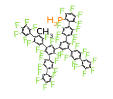 Cc1c(F)c(-c2c(F)c(-c3c(F)c(F)c(-c4c(F)c(F)c(F)c(F)c4F)c(F)c3F)c(F)c(-c3c(F)c(-c4c(F)c(F)c(-c5c(F)c(F)c(F)c(F)c5F)c(F)c4F)c(F)c(-c4c(F)c(F)c(-c5c(F)c(F)c(F)c(F)c5P)c(F)c4F)c3F)c2F)c(F)c(F)c1-c1c(F)c(F)c(F)c(F)c1F